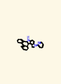 c1ccc(-n2ccc3c4c(ccc32)[nH]c2c3ccccc3c3ccccc3c24)nc1